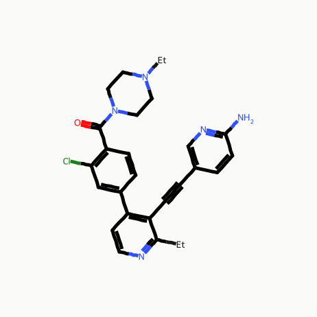 CCc1nccc(-c2ccc(C(=O)N3CCN(CC)CC3)c(Cl)c2)c1C#Cc1ccc(N)nc1